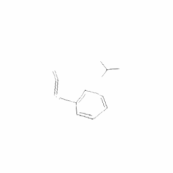 FC(F)F.S=C=Nc1ccccc1